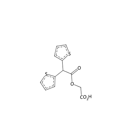 O=C(O)COC(=O)C(c1cccs1)c1cccs1